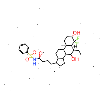 CC[C@@H]1[C@@H]2C(F)(F)[C@H](O)CC[C@]2(C)C2CC[C@@]3(C)C(CCC3[C@H](C)CCC(=O)NS(=O)(=O)c3ccccc3)C2[C@@H]1O